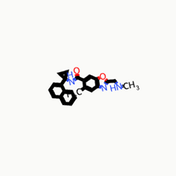 CNCc1nc2cc(C)c(C(=O)NC3(c4cccc5ccccc45)CC3)cc2o1